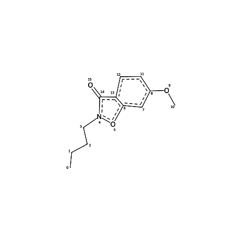 CCCCn1oc2cc(OC)ccc2c1=O